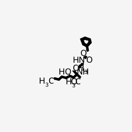 CCCCC[C@H](O)C(=O)C(CC)(CC)NCCNC(=O)OCc1ccccc1